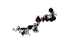 Cc1c(-c2ccc(-c3ccc4cccc(C(=O)Nc5nc6ccccc6s5)c4c3)nc2C(=O)O)cnn1CC12CC3(C)CC(C)(C1)CC(OCCN(CCS(=O)(=O)O)C(=O)OCc1ccc(NC[C@H](CCCNC(N)=O)NC[C@@H](N)C(C)C)cc1)(C3)C2